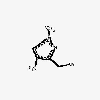 Cn1cc(C(F)(F)F)c(CC#N)n1